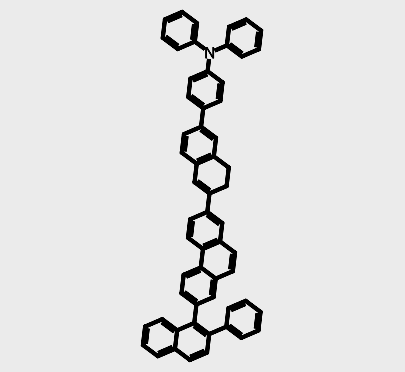 C1=C(c2ccc3c(ccc4cc(-c5c(-c6ccccc6)ccc6ccccc56)ccc43)c2)CCc2cc(-c3ccc(N(c4ccccc4)c4ccccc4)cc3)ccc21